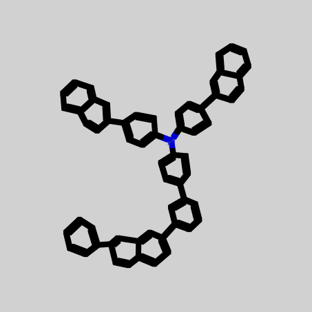 c1ccc(-c2ccc3ccc(-c4cccc(-c5ccc(N(c6ccc(-c7ccc8ccccc8c7)cc6)c6ccc(-c7ccc8ccccc8c7)cc6)cc5)c4)cc3c2)cc1